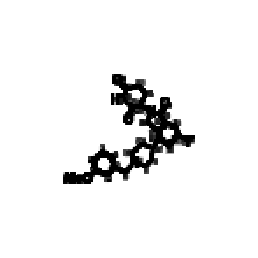 COc1cccc(CN2CCC(c3cc(F)cc4c3CN(C3CCC(=O)NC3=O)C4=O)CC2)c1